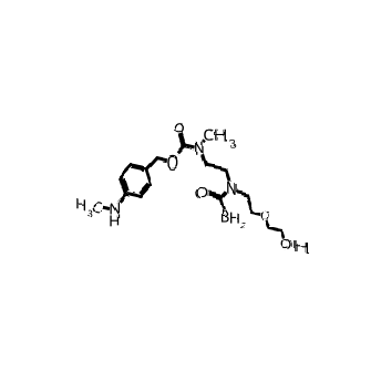 BC(=O)N(CCOCCO)CCN(C)C(=O)OCc1ccc(NC)cc1